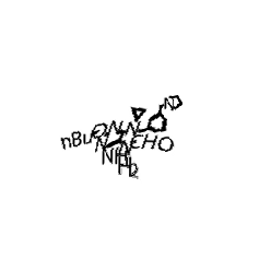 CCCCOc1nc(N)c(NC=O)c(N(Cc2cccc(CN3CCCC3)c2)C2CC2)n1